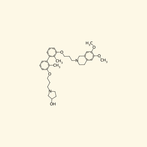 COc1cc2c(cc1OC)CN(CCCOc1cccc(-c3cccc(OCCCN4CCC(O)C4)c3C)c1C)CC2